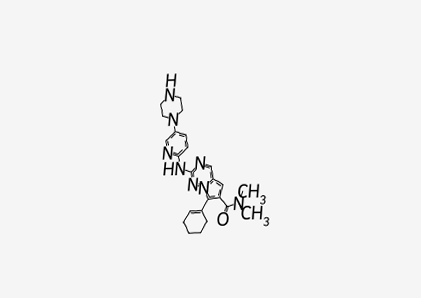 CN(C)C(=O)c1cc2cnc(Nc3ccc(N4CCNCC4)cn3)nn2c1C1=CCCCC1